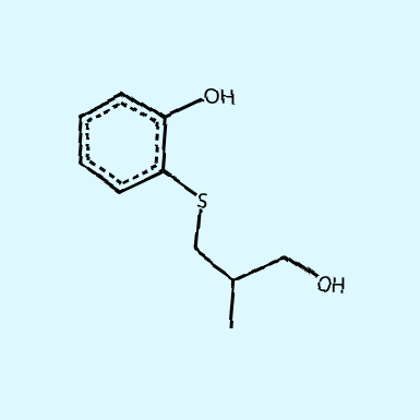 CC(CO)CSc1ccccc1O